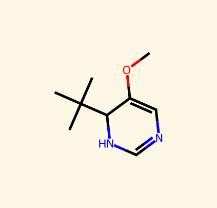 COC1=CN=CNC1C(C)(C)C